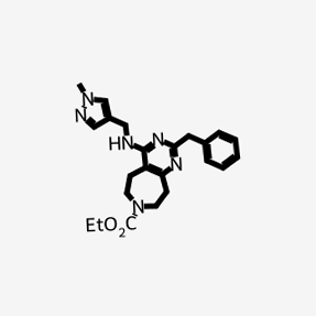 CCOC(=O)N1CCc2nc(Cc3ccccc3)nc(NCc3cnn(C)c3)c2CC1